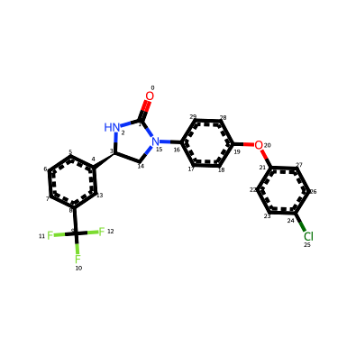 O=C1N[C@H](c2cccc(C(F)(F)F)c2)CN1c1ccc(Oc2ccc(Cl)cc2)cc1